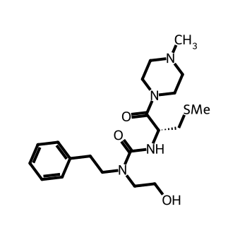 CSC[C@H](NC(=O)N(CCO)CCc1ccccc1)C(=O)N1CCN(C)CC1